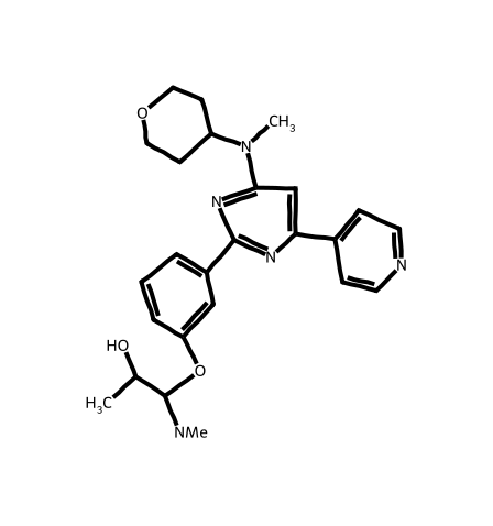 CNC(Oc1cccc(-c2nc(-c3ccncc3)cc(N(C)C3CCOCC3)n2)c1)C(C)O